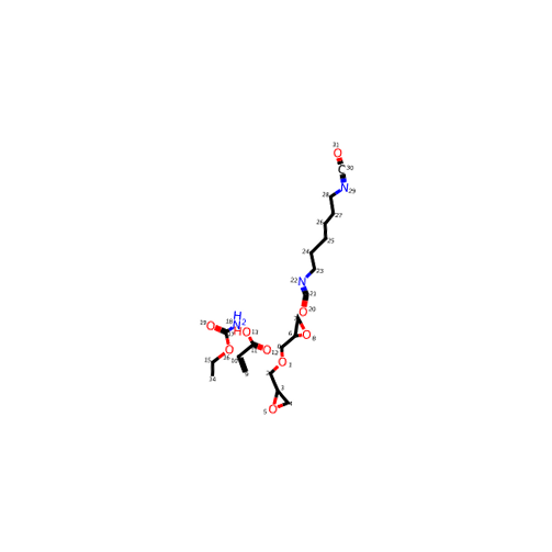 C(OCC1CO1)C1CO1.C=CC(=O)O.CCOC(N)=O.O=C=NCCCCCCN=C=O